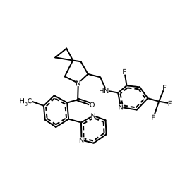 Cc1ccc(-c2ncccn2)c(C(=O)N2CC3(CC3)CC2CNc2ncc(C(F)(F)F)cc2F)c1